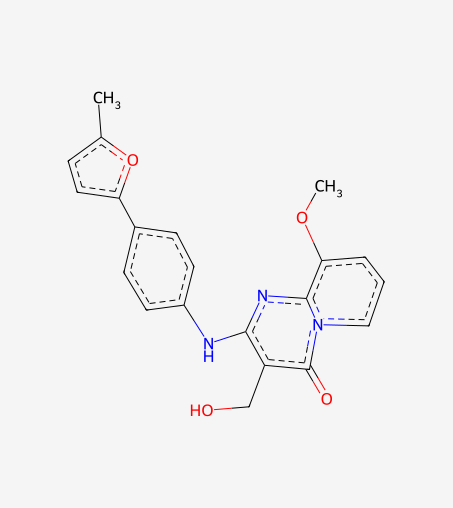 COc1cccn2c(=O)c(CO)c(Nc3ccc(-c4ccc(C)o4)cc3)nc12